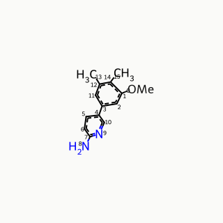 COc1cc(-c2ccc(N)nc2)cc(C)c1C